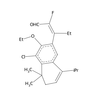 CCOc1c(/C(CC)=C(/F)C=O)cc2c(c1Cl)C(C)(C)CC=C2C(C)C